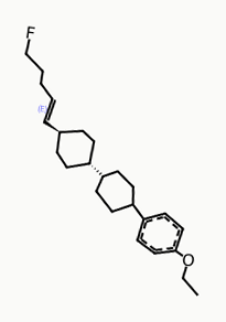 CCOc1ccc(C2CCC([C@H]3CC[C@H](/C=C/CCCF)CC3)CC2)cc1